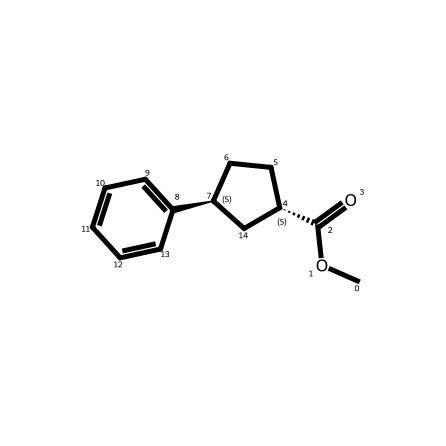 COC(=O)[C@H]1CC[C@H](c2ccccc2)C1